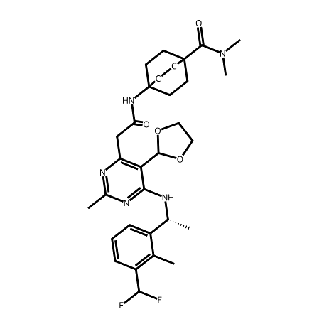 Cc1nc(CC(=O)NC23CCC(C(=O)N(C)C)(CC2)CC3)c(C2OCCO2)c(N[C@H](C)c2cccc(C(F)F)c2C)n1